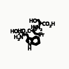 CC(C)C[C@H](N)C(=O)O.N[C@@H](CO)C(=O)O.N[C@@H](Cc1c[nH]c2ccccc12)C(=O)O